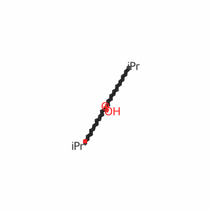 CC(C)CCCCCCCCCCCCCCCOC(O)CCCCCCCCCCCCCCC(C)C